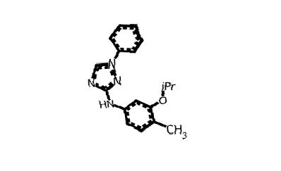 Cc1ccc(Nc2ncn(-c3ccccc3)n2)cc1OC(C)C